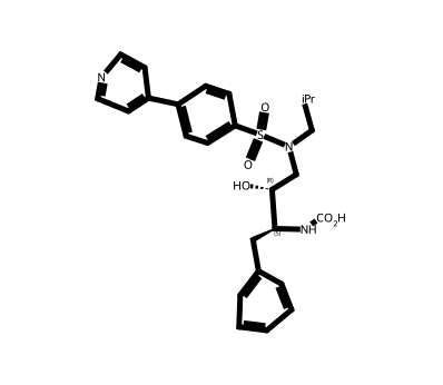 CC(C)CN(C[C@@H](O)[C@H](Cc1ccccc1)NC(=O)O)S(=O)(=O)c1ccc(-c2ccncc2)cc1